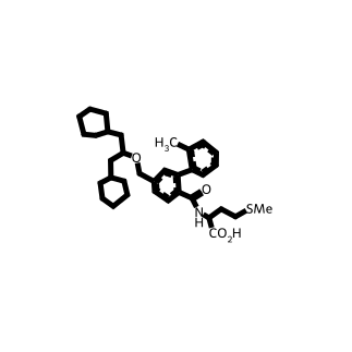 CSCCC(NC(=O)c1ccc(COC(CC2CCCCC2)CC2CCCCC2)cc1-c1ccccc1C)C(=O)O